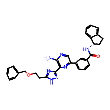 Nc1ncc(-c2cccc(C(=O)N[C@H]3CCc4ccccc43)c2)nc1-c1n[nH]c(CCOCc2ccccc2)n1